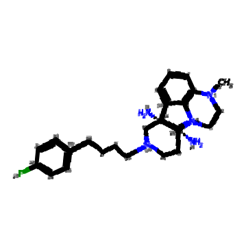 CN1CCN2c3c1cccc3[C@]1(N)CN(CCCCc3ccc(F)cc3)CC[C@]21N